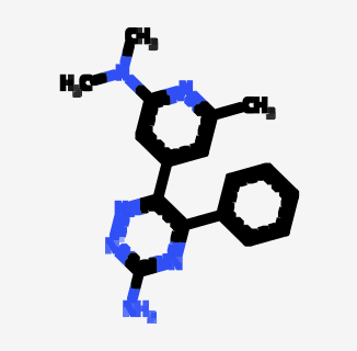 Cc1cc(-c2nnc(N)nc2-c2ccccc2)cc(N(C)C)n1